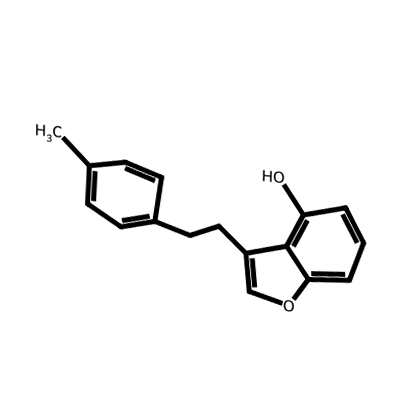 Cc1ccc(CCc2coc3cccc(O)c23)cc1